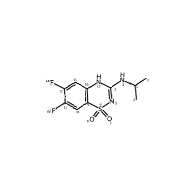 CC(C)NC1=NS(=O)(=O)c2cc(F)c(F)cc2N1